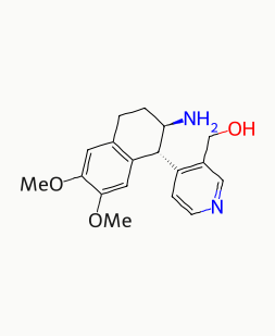 COc1cc2c(cc1OC)[C@@H](c1ccncc1CO)[C@H](N)CC2